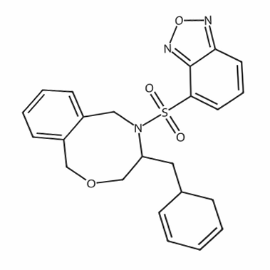 O=S(=O)(c1cccc2nonc12)N1Cc2ccccc2COCC1CC1C=CC=CC1